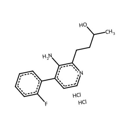 CC(O)CCc1nccc(-c2ccccc2F)c1N.Cl.Cl